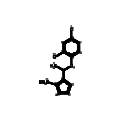 CC(Oc1ccc(Cl)cc1Cl)c1ccoc1C(=O)O